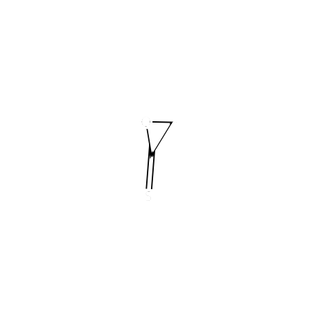 S=C1[CH]O1